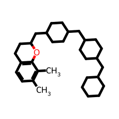 Cc1ccc2c(c1C)OC(CC1CCC(CC3CCC(CC4CCCCC4)CC3)CC1)CC2